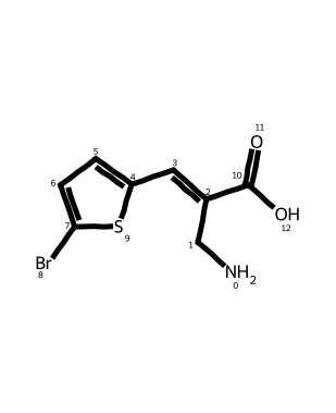 NC/C(=C\c1ccc(Br)s1)C(=O)O